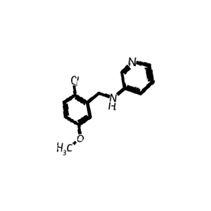 COc1ccc(Cl)c(CNc2cccnc2)c1